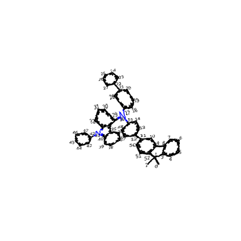 CC1(C)c2ccccc2-c2cc(-c3ccc(N(c4cccc(-c5ccccc5)c4)c4cccc5c4c4ccccc4n5-c4ccccc4)cc3)ccc21